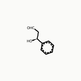 O=CC[C@H](O)c1ccccc1